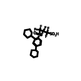 O=S(=O)(O)C(F)(F)C(F)(F)C(F)(F)S(=O)(=O)c1ccc(C2CCCCC2)cc1C1CCCCC1